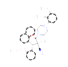 COc1ccccc1[C@@H](c1cccc2ccccc12)[C@](C)(C#N)C(=O)N1CCN(c2cccc(C)c2C)CC1